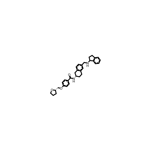 O=C(N[C@H]1CCc2cc(CNC3CCc4ccccc43)ccc2C1)c1ccc(OC[C@@H]2CCCO2)cc1